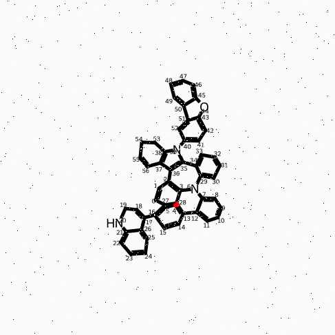 C1=CC2=C(CC1)N(c1ccccc1-c1ccc(C3=CCNc4ccccc43)cc1)c1ccccc1-c1c2c2c(n1-c1ccc3oc4ccccc4c3c1)CCC=C2